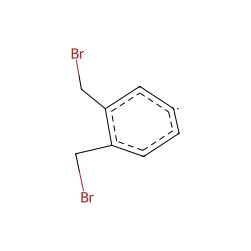 BrCc1c[c]ccc1CBr